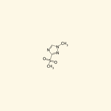 Cn1cnc(S(C)(=O)=O)n1